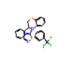 FC(F)(F)c1ccc([N@+]2(c3ncns3)c3ccccc3OCC2c2ccccc2)cc1